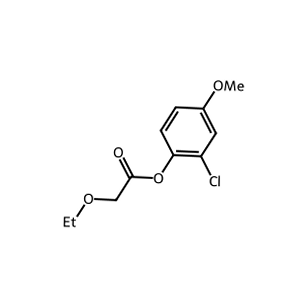 CCOCC(=O)Oc1ccc(OC)cc1Cl